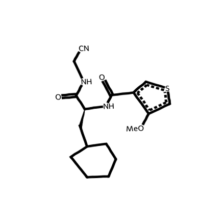 COc1cscc1C(=O)N[C@@H](CC1CCCCC1)C(=O)NCC#N